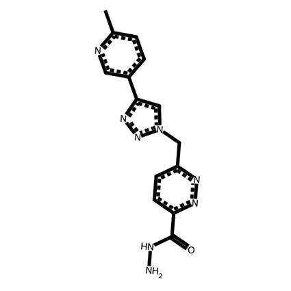 Cc1ccc(-c2cn(Cc3ccc(C(=O)NN)nn3)nn2)cn1